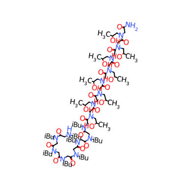 CCC(C)NCC(=O)N(CC(=O)N(CC(=O)N(CC(=O)N(CC(=O)N(CC(=O)N(CC(=O)N(CC(=O)N(CC(=O)N(CC(=O)N(CC(=O)N(CC(=O)N(CC(=O)N(CC(=O)N(CC(=O)N(CC(N)=O)CC(C)O)CC(C)O)CC(C)O)CC(C)O)CC(C)O)CC(C)O)CC(C)O)CC(C)O)C(C)CC)C(C)CC)C(C)CC)C(C)CC)C(C)CC)C(C)CC)C(C)CC